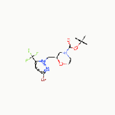 CC(C)(C)OC(=O)N1CCOC(Cn2nc(Br)cc2C(F)(F)F)C1